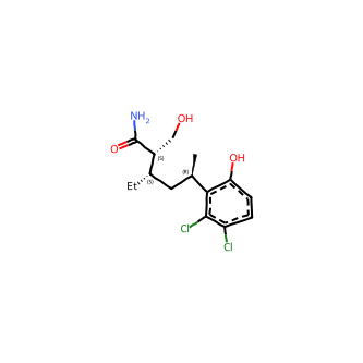 CC[C@@H](C[C@@H](C)c1c(O)ccc(Cl)c1Cl)[C@@H](CO)C(N)=O